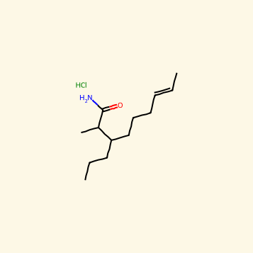 CC=CCCCC(CCC)C(C)C(N)=O.Cl